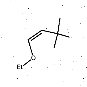 CCO/C=C\C(C)(C)C